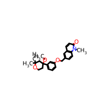 COC1(c2cccc(OCc3ccc4c(ccc(=O)n4C)c3)c2)CCOC(C)(C)C1